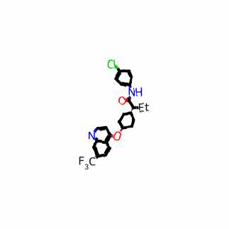 CCC(C(=O)Nc1ccc(Cl)cc1)[C@H]1CC[C@H](Oc2ccnc3cc(C(F)(F)F)ccc23)CC1